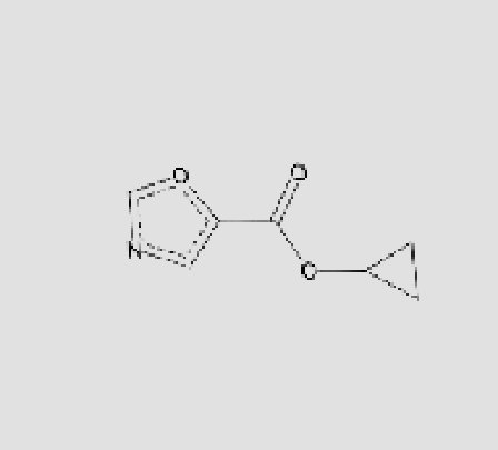 O=C(OC1CC1)c1cnco1